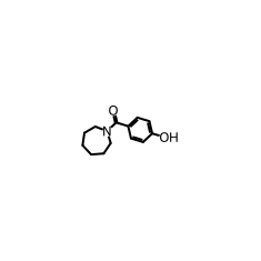 O=C(c1ccc(O)cc1)N1CCCCCC1